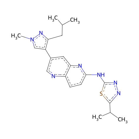 CC(C)Cc1nn(C)cc1-c1cnc2ccc(Nc3nnc(C(C)C)s3)nc2c1